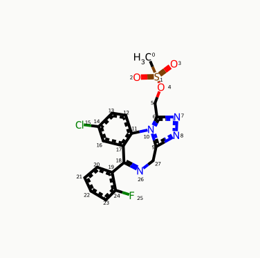 CS(=O)(=O)OCc1nnc2n1-c1ccc(Cl)cc1C(c1ccccc1F)=NC2